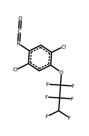 O=C=Nc1cc(Cl)c(OC(F)(F)C(F)(F)C(F)F)cc1Cl